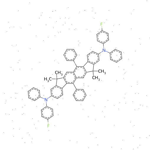 CC1(C)c2cc(N(c3ccccc3)c3ccc(F)cc3)ccc2-c2c1cc1c(-c3ccccc3)c3c(cc1c2-c1ccccc1)C(C)(C)c1cc(N(c2ccccc2)c2ccc(F)cc2)ccc1-3